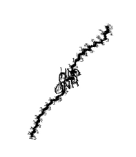 CCCCCCCCCCCCCCCCCC(=O)NC(=O)C(=O)NC(=O)CCCCCCCCCCCCCCCCC